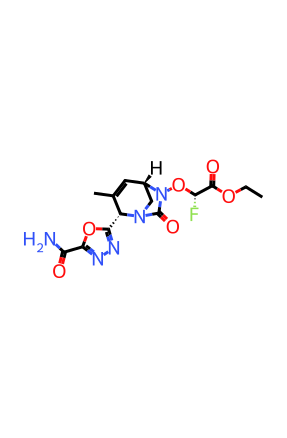 CCOC(=O)[C@H](F)ON1C(=O)N2C[C@@H]1C=C(C)[C@H]2c1nnc(C(N)=O)o1